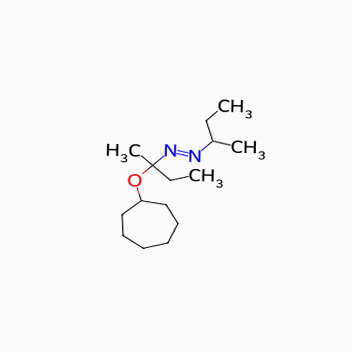 CCC(C)N=NC(C)(CC)OC1CCCCCC1